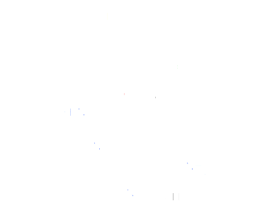 CC(=N)/C(=C\N)c1cnc(N)c(OC(C)c2cc(F)ccc2Cl)c1